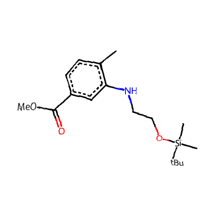 COC(=O)c1ccc(C)c(NCCO[Si](C)(C)C(C)(C)C)c1